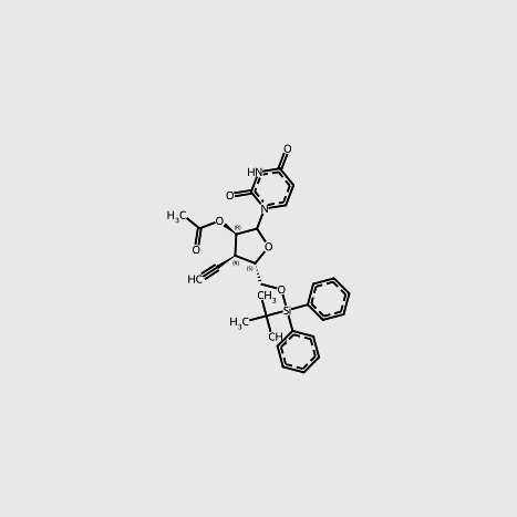 C#C[C@@H]1[C@@H](CO[Si](c2ccccc2)(c2ccccc2)C(C)(C)C)OC(n2ccc(=O)[nH]c2=O)[C@@H]1OC(C)=O